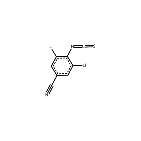 N#Cc1cc(F)c(N=C=S)c(Cl)c1